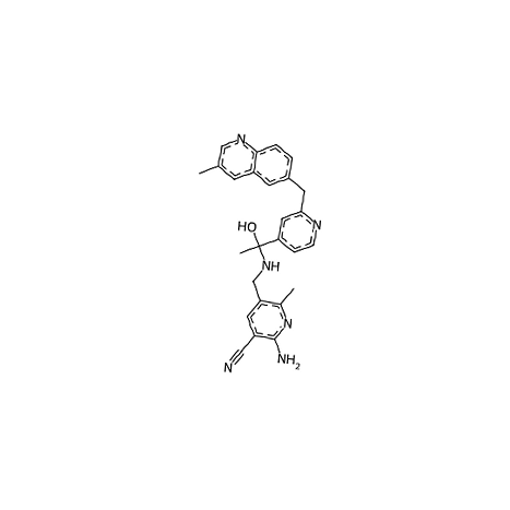 Cc1cnc2ccc(Cc3cc(C(C)(O)NCc4cc(C#N)c(N)nc4C)ccn3)cc2c1